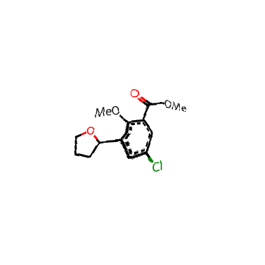 COC(=O)c1cc(Cl)cc(C2CCCO2)c1OC